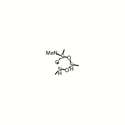 CN[Si]1(C)O[SiH](C)O[SiH](C)O1